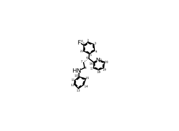 Fc1cccc([C@@H](CCNc2ccccc2)c2ccccn2)c1